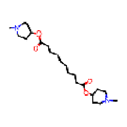 CN1CCC(OC(=O)CCCCCCCCC(=O)OC2CCN(C)CC2)CC1